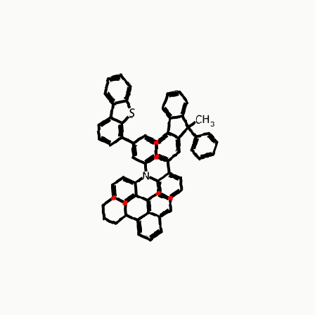 CC1(c2ccccc2)c2ccccc2-c2ccc(-c3ccccc3N(c3cccc(-c4cccc5c4sc4ccccc45)c3)c3ccccc3-c3cccc4cccc(C5CCCCC5)c34)cc21